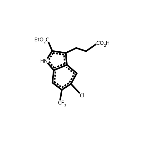 CCOC(=O)c1[nH]c2cc(C(F)(F)F)c(Cl)cc2c1CCC(=O)O